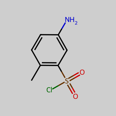 Cc1ccc(N)cc1S(=O)(=O)Cl